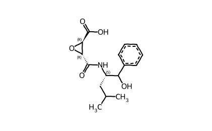 CC(C)C[C@H](NC(=O)[C@@H]1O[C@H]1C(=O)O)C(O)c1ccccc1